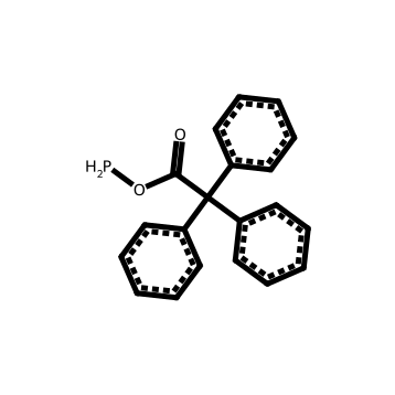 O=C(OP)C(c1ccccc1)(c1ccccc1)c1ccccc1